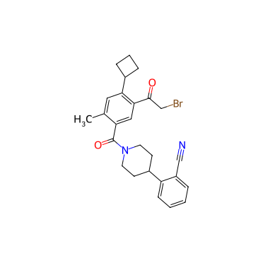 Cc1cc(C2CCC2)c(C(=O)CBr)cc1C(=O)N1CCC(c2ccccc2C#N)CC1